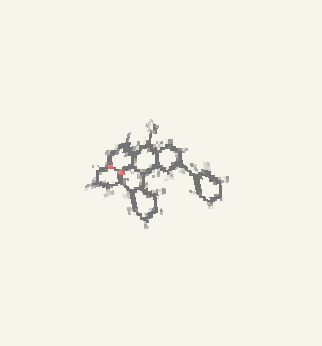 Brc1c2ccccc2c(-c2ccccc2-c2ccccc2)c2cc(-c3ccccc3)ccc12